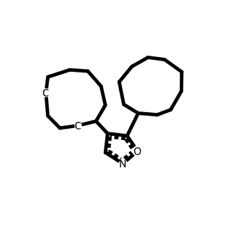 c1noc(C2CCCCCCCCC2)c1C1CCCCCCCCC1